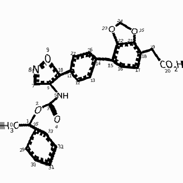 CC(OC(=O)Nc1cnoc1-c1ccc(-c2ccc(CC(=O)O)c3c2OCO3)cc1)c1ccccc1